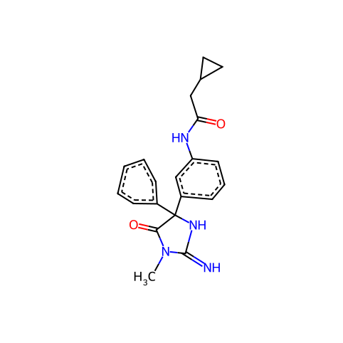 CN1C(=N)NC(c2ccccc2)(c2cccc(NC(=O)CC3CC3)c2)C1=O